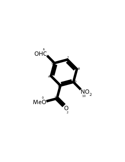 COC(=O)c1cc(C=O)ccc1[N+](=O)[O-]